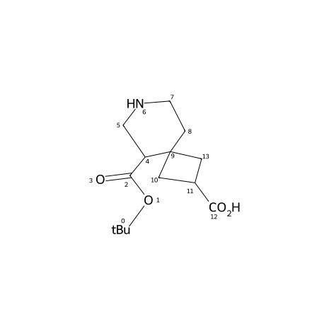 CC(C)(C)OC(=O)C1CNCCC12CC(C(=O)O)C2